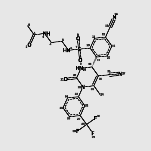 CC(=O)NCCNS(=O)(=O)c1cc(C#N)ccc1[C@H]1NC(=O)N(c2cccc(C(F)(F)F)c2)C(C)=C1C#N